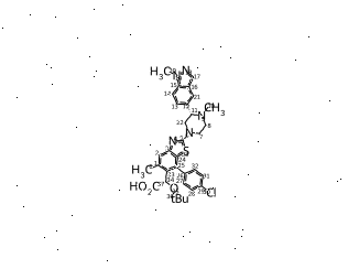 Cc1cc2nc(N3CCN(C)[C@@H](c4ccc5c(cnn5C)c4)C3)sc2c(-c2ccc(Cl)cc2)c1[C@H](OC(C)(C)C)C(=O)O